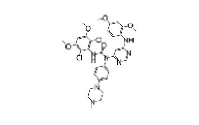 COc1ccc(Nc2cc(N(C(=O)Nc3c(Cl)c(OC)cc(OC)c3Cl)c3ccc(N4CCN(C)CC4)cc3)ncn2)c(OC)c1